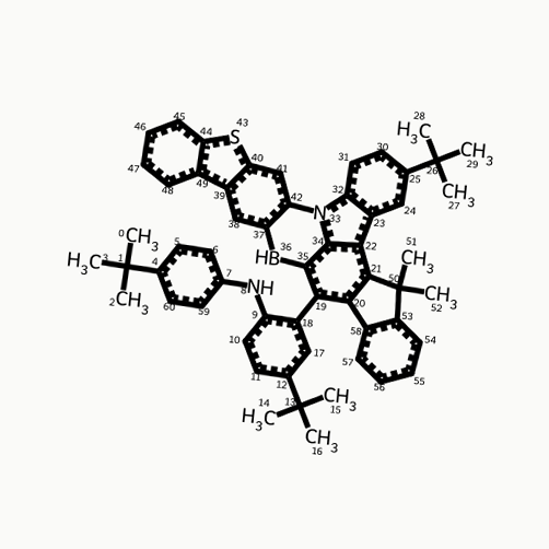 CC(C)(C)c1ccc(Nc2ccc(C(C)(C)C)cc2-c2c3c(c4c5cc(C(C)(C)C)ccc5n5c4c2Bc2cc4c(cc2-5)sc2ccccc24)C(C)(C)c2ccccc2-3)cc1